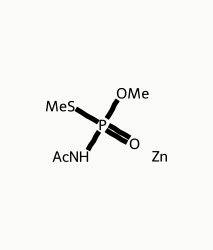 COP(=O)(NC(C)=O)SC.[Zn]